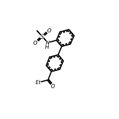 CCC(=O)c1ccc(-c2ccccc2NS(C)(=O)=O)cc1